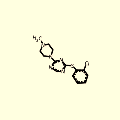 CN1CCN(c2ncnc(Sc3ccccc3Cl)n2)CC1